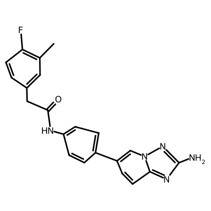 Cc1cc(CC(=O)Nc2ccc(-c3ccc4nc(N)nn4c3)cc2)ccc1F